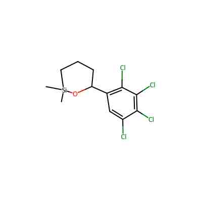 C[Si]1(C)CCCC(c2cc(Cl)c(Cl)c(Cl)c2Cl)O1